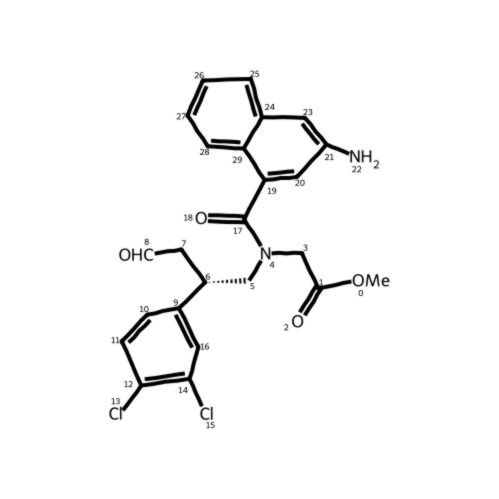 COC(=O)CN(C[C@@H](CC=O)c1ccc(Cl)c(Cl)c1)C(=O)c1cc(N)cc2ccccc12